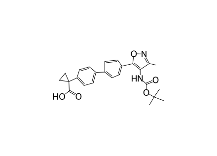 Cc1noc(-c2ccc(-c3ccc(C4(C(=O)O)CC4)cc3)cc2)c1NC(=O)OC(C)(C)C